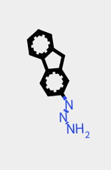 NN=Nc1ccc2c(c1)Cc1ccccc1-2